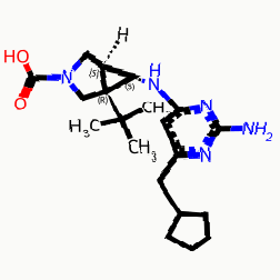 CC(C)(C)[C@@]12CN(C(=O)O)C[C@H]1[C@@H]2Nc1cc(CC2CCCC2)nc(N)n1